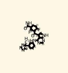 CC1(c2cccc(Nc3ncnc4[nH]cc(C(=O)c5c(F)ccc(C(N)=O)c5F)c34)c2)N=NN=N1